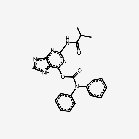 CC(C)C(=O)Nc1nc(OC(=O)N(c2ccccc2)c2ccccc2)c2[nH][c]nc2n1